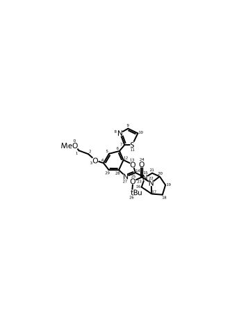 COCCOc1cc(-c2nccs2)c2oc(N3CC4CCC(C3)N4C(=O)OC(C)(C)C)nc2c1